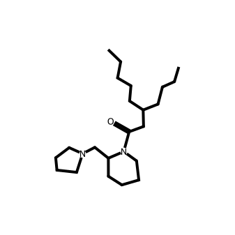 CCCCCC(CCCC)CC(=O)N1CCCCC1CN1CCCC1